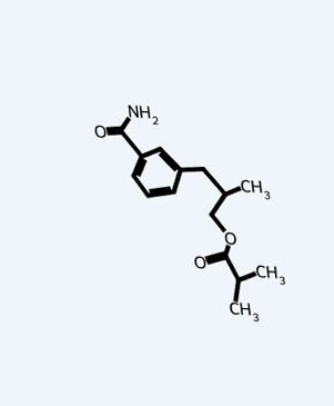 CC(COC(=O)C(C)C)Cc1cccc(C(N)=O)c1